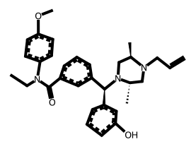 C=CCN1C[C@H](C)N([C@@H](c2cccc(O)c2)c2cccc(C(=O)N(CC)c3ccc(OC)cc3)c2)C[C@H]1C